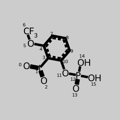 O=I(=O)c1c(OC(F)(F)F)cccc1OP(=O)(O)O